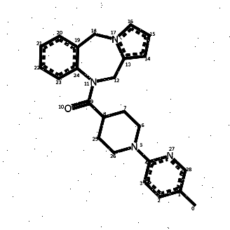 Cc1ccc(N2CCC(C(=O)N3Cc4cccn4Cc4ccccc43)CC2)nc1